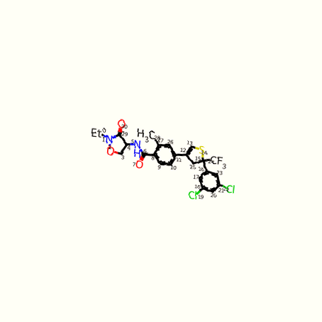 CCN1OCC(NC(=O)c2ccc(C3=CSC(c4cc(Cl)cc(Cl)c4)(C(F)(F)F)C3)cc2C)C1=O